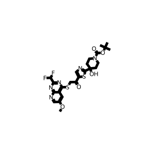 COc1cnc2nc(C(F)F)nc(SCC(=O)c3cnc(C4(O)CCN(C(=O)OC(C)(C)C)CC4)s3)c2c1